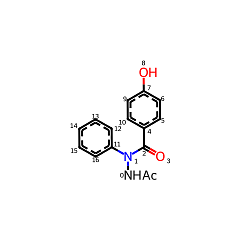 CC(=O)NN(C(=O)c1ccc(O)cc1)c1ccccc1